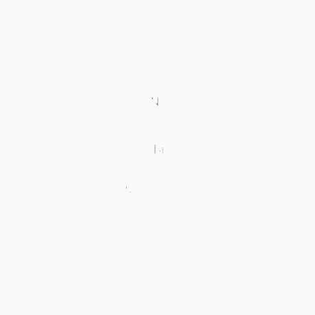 CCC1CC(C)(C)O/C(C)=C(Br)/C=N\1